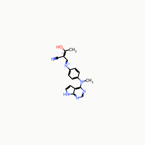 C/C(O)=C(C#N)\C=N\c1ccc(N(C)c2ncnc3[nH]ccc23)cc1